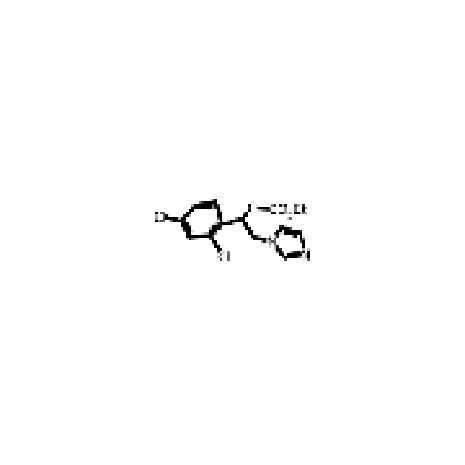 CCOC(=O)OC(Cn1ccnc1)c1ccc(Cl)cc1Cl